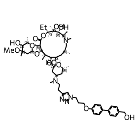 CC[C@H]1OC(=O)[C@H](C)[C@@H](O[C@H]2C[C@@](C)(OC)[C@@H](O)[C@H](C)O2)[C@H](C)[C@@H](O[C@H]2C[C@@H](N(C)CCc3cn(CCCOc4ccc(-c5ccc(CO)cc5)cc4)nn3)C[C@@H](C)O2)[C@](C)(O)C[C@@H](C)CN(C)[C@H](C)[C@@H](O)[C@]1(C)O